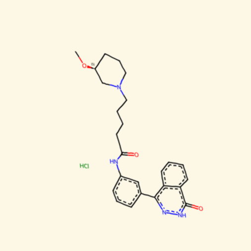 CO[C@H]1CCCN(CCCCC(=O)Nc2cccc(-c3n[nH]c(=O)c4ccccc34)c2)C1.Cl